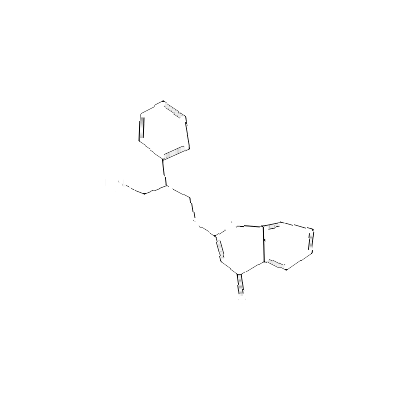 NCC(CNc1cc(=O)c2ccccc2[nH]1)c1ccccc1